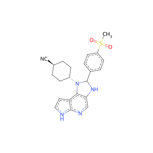 CS(=O)(=O)c1ccc(C2Nc3cnc4[nH]ccc4c3N2[C@H]2CC[C@H](C#N)CC2)cc1